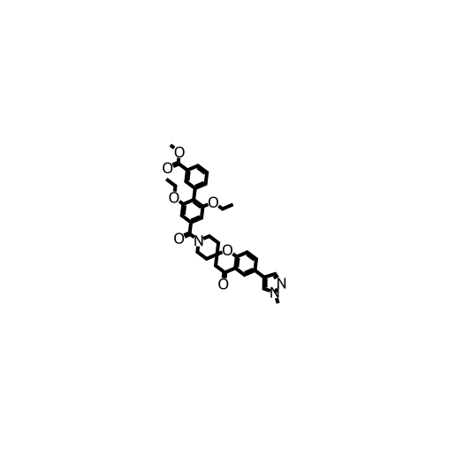 CCOc1cc(C(=O)N2CCC3(CC2)CC(=O)c2cc(-c4cnn(C)c4)ccc2O3)cc(OCC)c1-c1cccc(C(=O)OC)c1